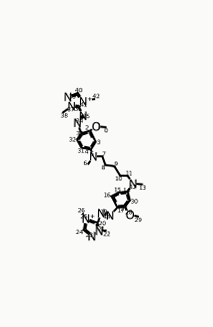 COc1cc(N(C)CCCCCN(C)c2ccc(N=Nc3n(C)nc[n+]3C)c(OC)c2)ccc1N=Nc1n(C)nc[n+]1C